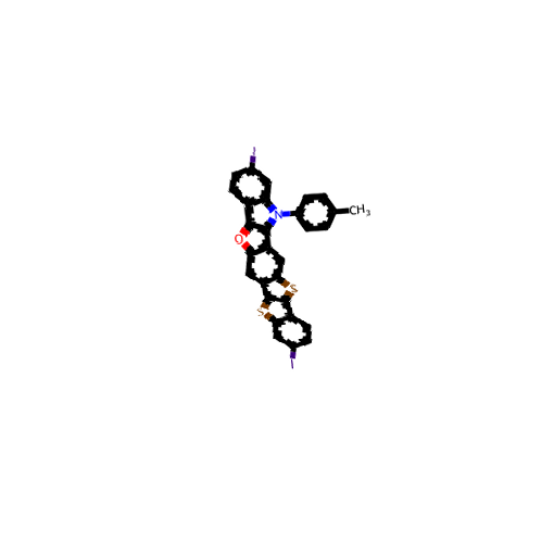 Cc1ccc(-n2c3cc(I)ccc3c3oc4cc5c(cc4c32)sc2c3ccc(I)cc3sc52)cc1